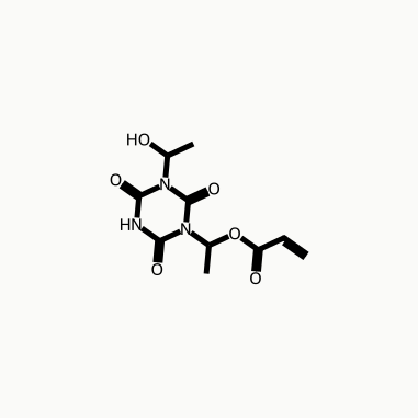 C=CC(=O)OC(C)n1c(=O)[nH]c(=O)n(C(C)O)c1=O